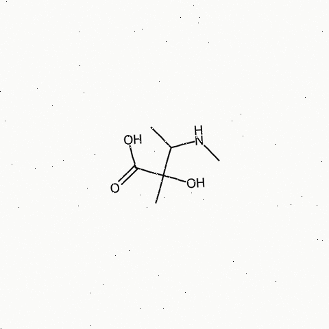 CNC(C)C(C)(O)C(=O)O